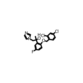 CC(O)(Cn1ccnc1)c1cc(F)ccc1OCc1ccc(Cl)cc1Cl